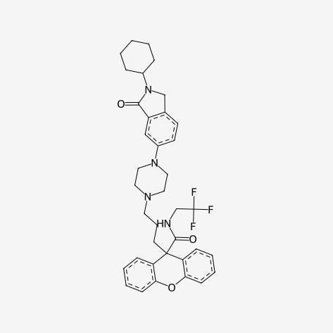 O=C1c2cc(N3CCN(CCCC4(C(=O)NCC(F)(F)F)c5ccccc5Oc5ccccc54)CC3)ccc2CN1C1CCCCC1